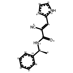 C[C@H](NC(=O)/C(C#N)=C/c1ncc[nH]1)c1ccccc1